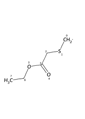 [CH2]SCC(=O)OCC